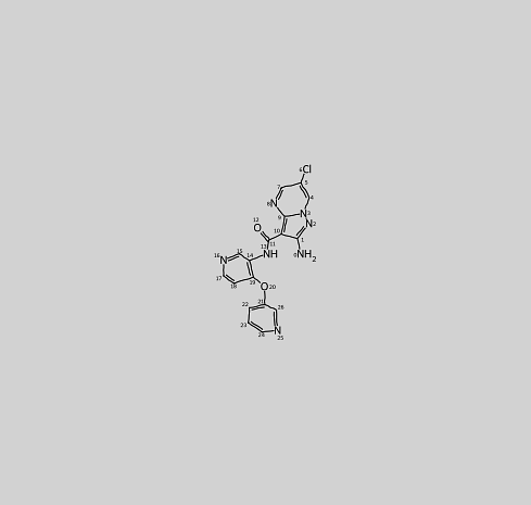 Nc1nn2cc(Cl)cnc2c1C(=O)Nc1cnccc1Oc1cccnc1